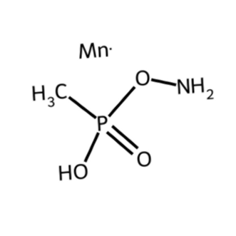 CP(=O)(O)ON.[Mn]